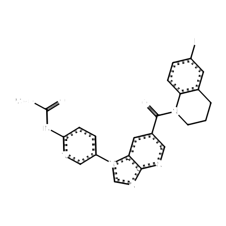 COC(=O)Nc1ccc(-n2cnc3ncc(C(=O)N4CCCc5cc(F)ccc54)cc32)cn1